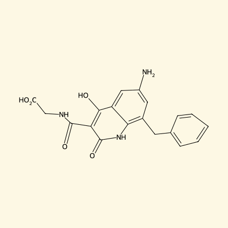 Nc1cc(Cc2ccccc2)c2[nH]c(=O)c(C(=O)NCC(=O)O)c(O)c2c1